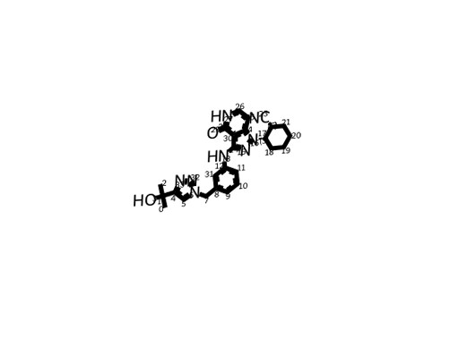 CC(C)(O)c1cn(Cc2cccc(Nc3nn([C@H]4CCCC[C@@H]4C#N)c4cc[nH]c(=O)c34)c2)nn1